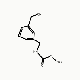 CC(C)(C)OC(=O)NCc1cccc(CC#N)c1